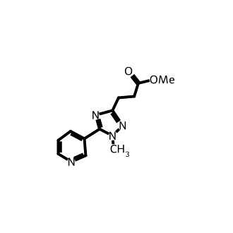 COC(=O)CCc1nc(-c2cccnc2)n(C)n1